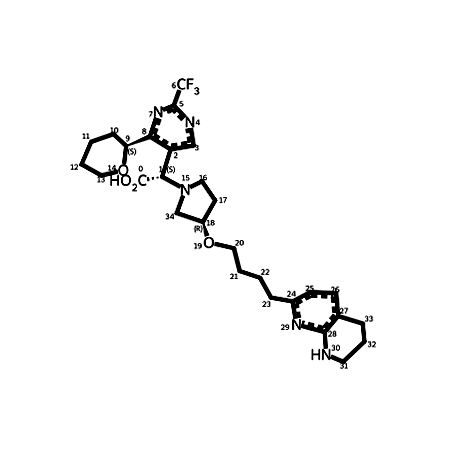 O=C(O)[C@H](c1cnc(C(F)(F)F)nc1[C@@H]1CCCCO1)N1CC[C@@H](OCCCCc2ccc3c(n2)NCCC3)C1